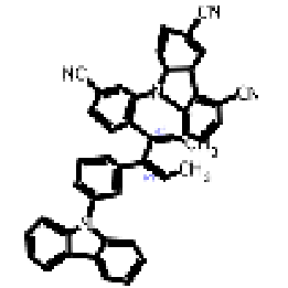 C/C=C(\C(=C/C)c1ccc(C#N)cc1N1c2cccc(C#N)c2C2C=C(C#N)C=CC21)c1cccc(-n2c3ccccc3c3ccccc32)c1